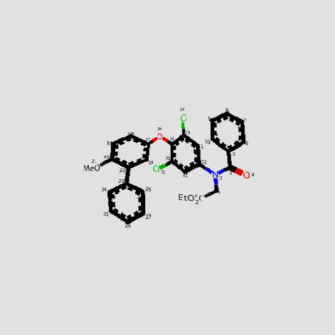 CCOC(=O)CN(C(=O)c1ccccc1)c1cc(Cl)c(Oc2ccc(OC)c(-c3ccccc3)c2)c(Cl)c1